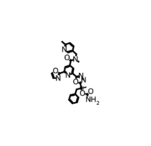 Cc1ccc(CN(C)C(=O)c2cc(-c3ncco3)nc(-c3nnc([C@@](C)(Cc4ccccc4)OC(N)=O)o3)c2)cn1